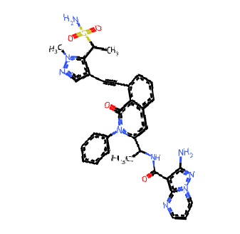 CC(NC(=O)c1c(N)nn2cccnc12)c1cc2cccc(C#Cc3cnn(C)c3C(C)S(N)(=O)=O)c2c(=O)n1-c1ccccc1